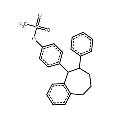 O=S(=O)(Oc1ccc(C2c3ccccc3CCCC2c2ccccc2)cc1)C(F)(F)F